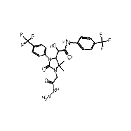 CC1(C)C(C(O)C(=O)Nc2ccc(C(F)(F)F)cc2)N(c2ccc(C(F)(F)F)cc2)C(=O)N1CC(=O)NN